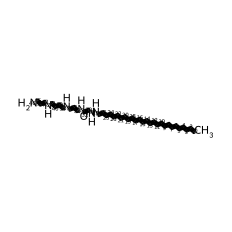 CCCCCCCCCCCCCCCCCCCCCCCCCCCCNNCC(=O)NCCCNCCCCNCCCN